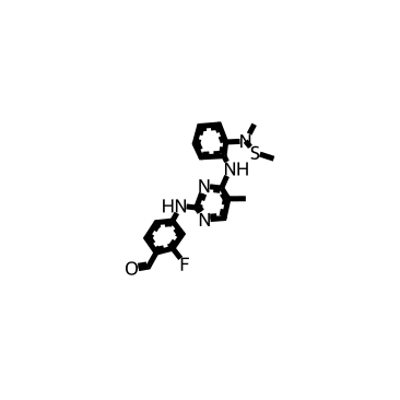 CSN(C)c1ccccc1Nc1nc(Nc2ccc(C=O)c(F)c2)ncc1C